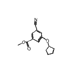 COC(=O)c1cc(C#N)cc(OC2CCCC2)c1